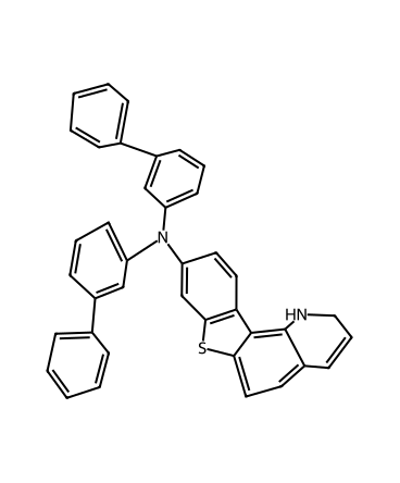 C1=Cc2ccc3sc4cc(N(c5cccc(-c6ccccc6)c5)c5cccc(-c6ccccc6)c5)ccc4c3c2NC1